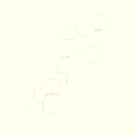 Cc1cccc2c1-c1cc3c(cc1C2(C)C)-c1ccc(N2c4ccccc4N(c4ccccc4)c4ccccc42)cc1C3(C)C